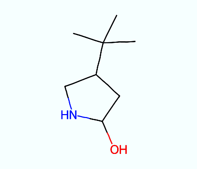 CC(C)(C)C1CNC(O)C1